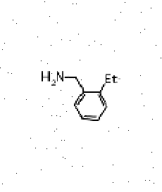 C[CH]c1ccccc1CN